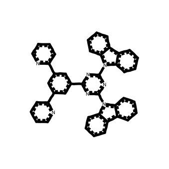 c1ccc(-c2cc(-c3ccccn3)cc(-c3nc(-n4c5ccccc5c5ccccc54)nc(-n4c5ccccc5c5ccccc54)n3)c2)nc1